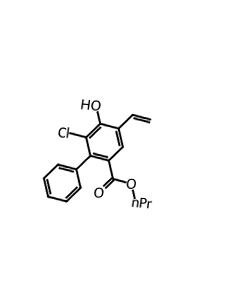 C=Cc1cc(C(=O)OCCC)c(-c2ccccc2)c(Cl)c1O